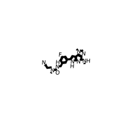 CNc1nc2[nH]c(-c3cc(F)cc(CNC(=O)N(C)CCC#N)c3)cc2c2c1ncn2C